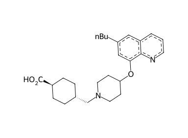 CCCCc1cc(OC2CCN(C[C@H]3CC[C@H](C(=O)O)CC3)CC2)c2ncccc2c1